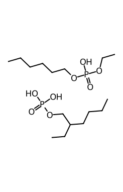 CCCCC(CC)COP(=O)(O)O.CCCCCCOP(=O)(O)OCC